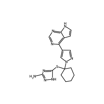 Nc1n[nH]c(SC2(n3cc(-c4ncnc5[nH]ccc45)cn3)CCCCC2)n1